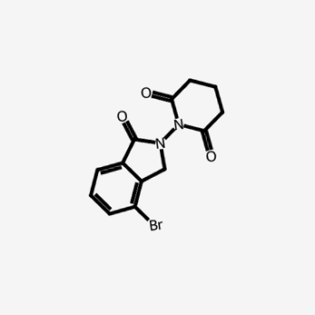 O=C1c2cccc(Br)c2CN1N1C(=O)CCCC1=O